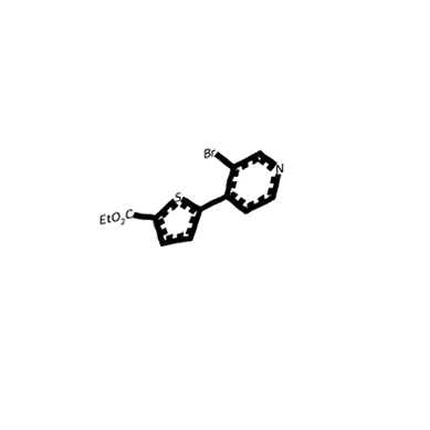 CCOC(=O)c1ccc(-c2ccncc2Br)s1